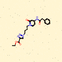 CCOC(=O)c1cn(CCCCn2ccc(NC(=O)Cc3ccccc3)cc2=O)nn1